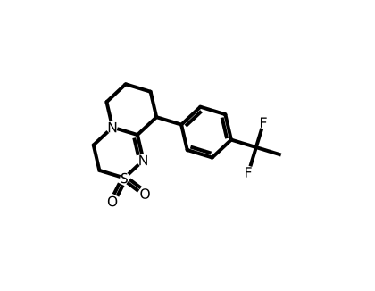 CC(F)(F)c1ccc(C2CCCN3CCS(=O)(=O)N=C23)cc1